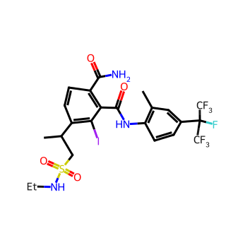 CCNS(=O)(=O)CC(C)c1ccc(C(N)=O)c(C(=O)Nc2ccc(C(F)(C(F)(F)F)C(F)(F)F)cc2C)c1I